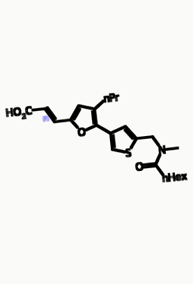 CCCCCCC(=O)N(C)Cc1cc(-c2oc(/C=C/C(=O)O)cc2CCC)cs1